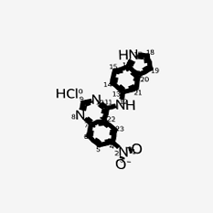 Cl.O=[N+]([O-])c1ccc2ncnc(Nc3ccc4[nH]ccc4c3)c2c1